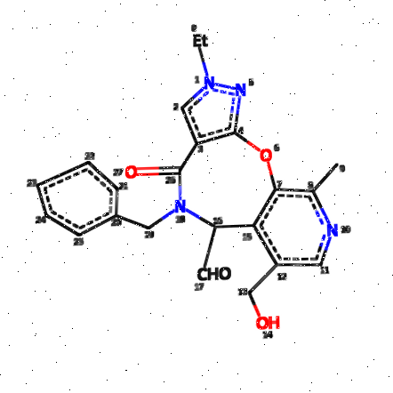 CCn1cc2c(n1)Oc1c(C)ncc(CO)c1C(C=O)N(Cc1ccccc1)C2=O